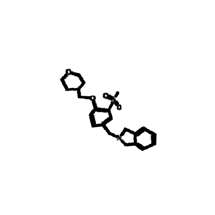 CS(=O)(=O)c1cc(CN2Cc3ccccc3C2)ccc1OCC1CCOCC1